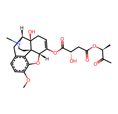 COc1ccc2c3c1O[C@H]1C(OC(=O)[C@@H](O)CC(=O)O[C@@H](C)C(C)=O)=CC[C@@]4(O)[C@@H](C2)N(C)CC[C@]314